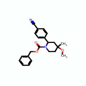 COC1(C)CCN(C(=O)OCc2ccccc2)C(c2ccc(C#N)cc2)C1